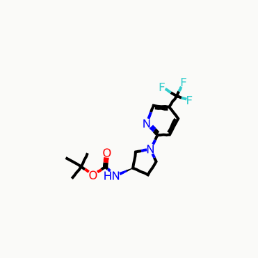 CC(C)(C)OC(=O)N[C@@H]1CCN(c2ccc(C(F)(F)F)cn2)C1